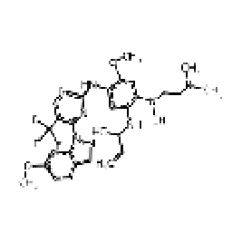 C=CC(O)Nc1cc(Nc2ncc(C(F)(F)F)c(-n3ncc4ccc(OC)cc43)n2)c(OC)cc1N(C)CCN(C)C